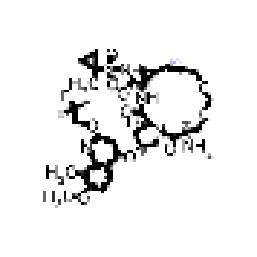 COc1ccc2c(O[C@@H]3C[C@H]4C(=O)N[C@]5(C(=O)NS(=O)(=O)C6(C)CC6)CC5/C=C\CCCCC[C@H](N)C(=O)N4C3)cc(OCC(F)(F)F)nc2c1C